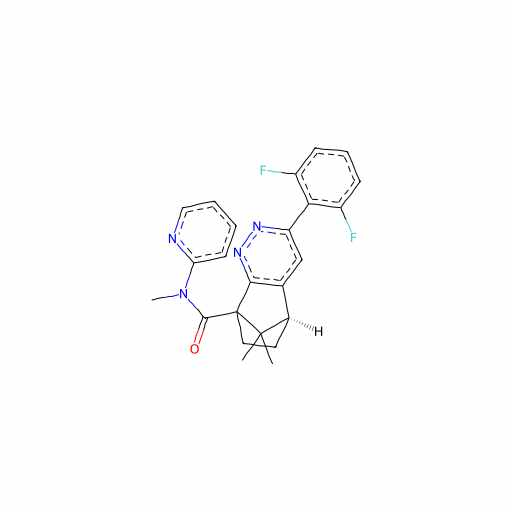 CN(C(=O)C12CC[C@H](c3cc(-c4c(F)cccc4F)nnc31)C2(C)C)c1ccccn1